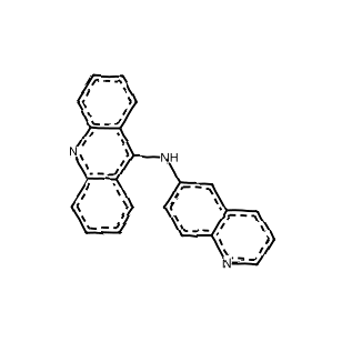 c1cnc2ccc(Nc3c4ccccc4nc4ccccc34)cc2c1